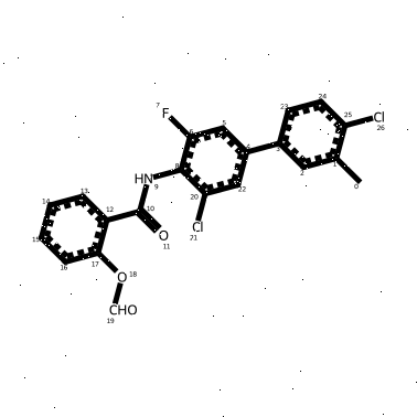 Cc1cc(-c2cc(F)c(NC(=O)c3ccccc3OC=O)c(Cl)c2)ccc1Cl